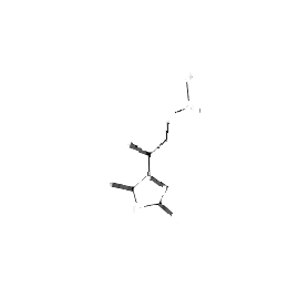 O=C1C=C(C(=O)CON[SiH3])C(=O)N1